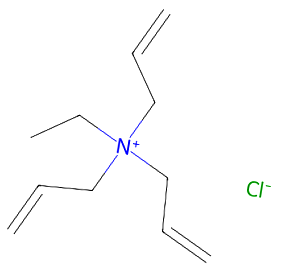 C=CC[N+](CC)(CC=C)CC=C.[Cl-]